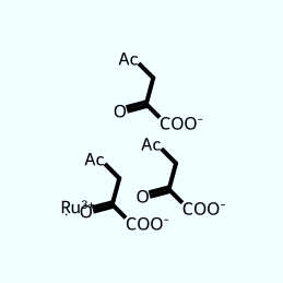 CC(=O)CC(=O)C(=O)[O-].CC(=O)CC(=O)C(=O)[O-].CC(=O)CC(=O)C(=O)[O-].[Ru+3]